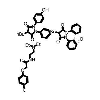 CCCCC1C(=O)N(c2ccccc2)N(c2ccc(O)cc2)C1=O.CCCCC1C(=O)N(c2ccccc2)N(c2ccccc2)C1=O.CCN(CC)CCNC(=O)COc1ccc(Cl)cc1.O